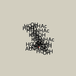 CC(=O)N[C@H]1[C@@H](O[C@H]2[C@@H](O)[C@@H](CO)O[C@@H](O[C@H]3[C@@H](O)[C@@H](CO)O[C@@H](O[C@H]4[C@@H](O)[C@@H](CO)O[C@@H](O[C@@H]5[C@H](O[C@]6(C(=O)O)C[C@H](O)[C@@H](NC(C)=O)[C@H]([C@H](O)[C@H](O)CO)O6)[C@@H](O)[C@H](O[C@H]6[C@H](O)[C@@H](O)[C@H](O)O[C@@H]6CO)O[C@@H]5CO)[C@@H]4NC(C)=O)[C@@H]3O)[C@@H]2NC(C)=O)O[C@H](CO)[C@H](O)[C@@H]1O